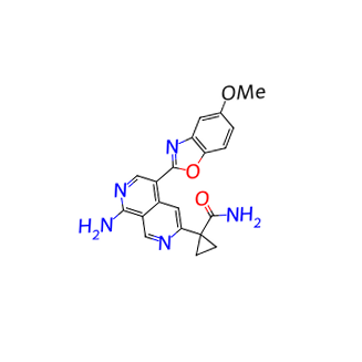 COc1ccc2oc(-c3cnc(N)c4cnc(C5(C(N)=O)CC5)cc34)nc2c1